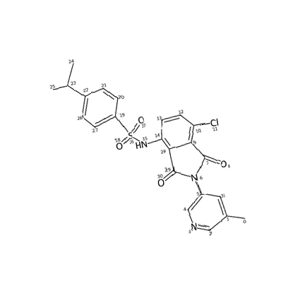 Cc1cncc(N2C(=O)c3c(Cl)ccc(NS(=O)(=O)c4ccc(C(C)C)cc4)c3C2=O)c1